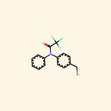 O=C(N(c1ccccc1)c1ccc(CBr)cc1)C(F)(F)F